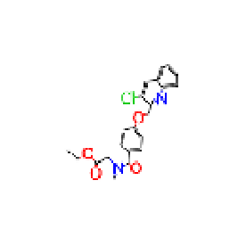 CCOC(=O)CN(C)C(=O)c1ccc(OCc2nc3ccccc3cc2Cl)cc1